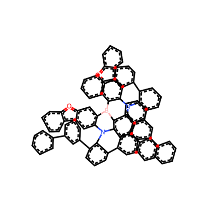 c1ccc(-c2cccc(-c3cccc(-c4cccc(-c5ccccc5)c4)c3N3c4cc5c(cc4B4c6cc7oc8ccccc8c7cc6N(c6c(-c7cccc(-c8ccccc8)c7)cccc6-c6cccc(-c7ccccc7)c6)c6cc(-c7ccccc7)cc3c64)oc3ccccc35)c2)cc1